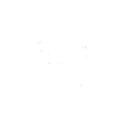 COC1=C(c2ccc(C(C)C)cc2C(C)C)C(C(C)C)(P(C(C)(C)C)C(C)(C)C)C(OC)C=C1